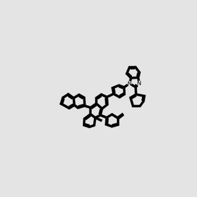 C=C1C=CC=C(C2=c3cc(-c4ccc(-n5c(C6=CCCC=C6)nc6ccccc65)cc4)ccc3=C(c3ccc4ccccc4c3)C3=CC=CCC32C)C1